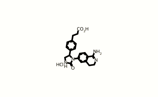 Cl.NC1=NCCc2cc(N3C(=O)NCC3c3ccc(CCC(=O)O)cc3)ccc21